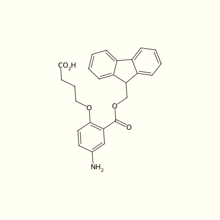 Nc1ccc(OCCCC(=O)O)c(C(=O)OCC2c3ccccc3-c3ccccc32)c1